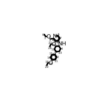 CCOCc1nccc(N[C@H]2CC[C@@H](c3ccc(OCC)cc3)CC2)c1OCC